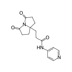 O=C(CCC12CCC(=O)N1C(=O)CC2)Nc1ccncc1